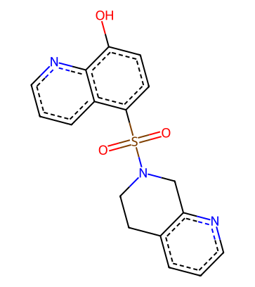 O=S(=O)(c1ccc(O)c2ncccc12)N1CCc2cccnc2C1